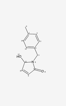 Cc1ccc(CN2C(=O)C=CC2O)cc1